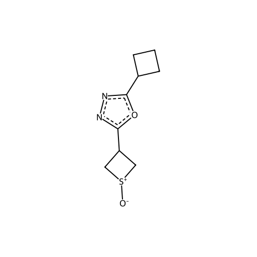 [O-][S+]1CC(c2nnc(C3CCC3)o2)C1